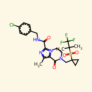 Cc1nc(C(=O)NCc2ccc(Cl)cc2)n2c1C(=O)N(CC1(S(=O)(=O)C(C)(C)C(F)(F)F)CC1)CC2